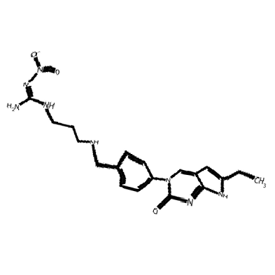 CCc1cc2cn(-c3ccc(CNCCCN/C(N)=N\[N+](=O)[O-])cc3)c(=O)nc2[nH]1